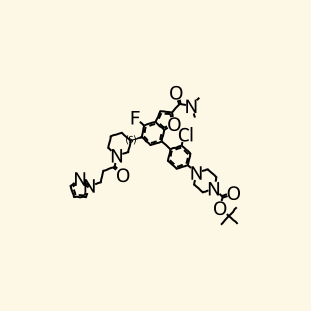 CN(C)C(=O)c1cc2c(F)c([C@@H]3CCCN(C(=O)CCn4cccn4)C3)cc(-c3ccc(N4CCN(C(=O)OC(C)(C)C)CC4)cc3Cl)c2o1